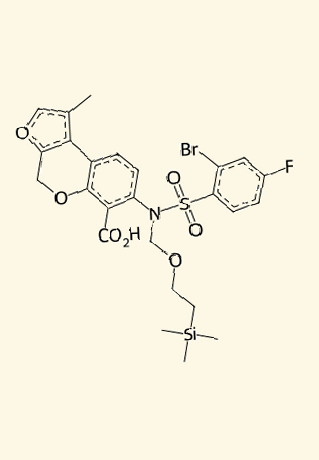 Cc1coc2c1-c1ccc(N(COCC[Si](C)(C)C)S(=O)(=O)c3ccc(F)cc3Br)c(C(=O)O)c1OC2